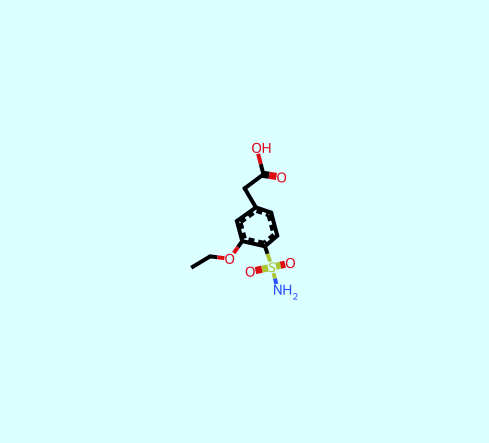 CCOc1cc(CC(=O)O)ccc1S(N)(=O)=O